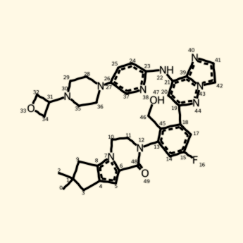 CC1(C)Cc2cc3n(c2C1)CCN(c1cc(F)cc(-c2cc(Nc4ccc(N5CCN(C6COC6)CC5)cn4)c4nccn4n2)c1CO)C3=O